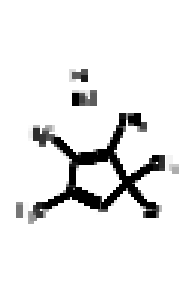 CC1=P[C](C)([Zr])C(C)=C1C.Cl.Cl